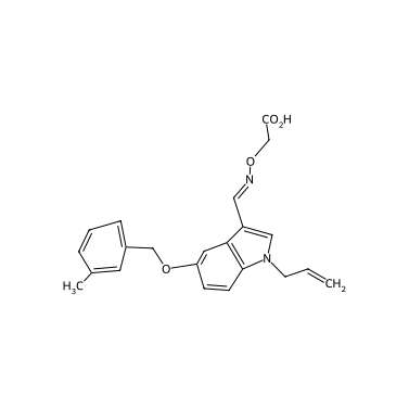 C=CCn1cc(/C=N/OCC(=O)O)c2cc(OCc3cccc(C)c3)ccc21